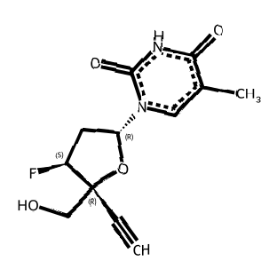 C#C[C@]1(CO)O[C@@H](n2cc(C)c(=O)[nH]c2=O)C[C@@H]1F